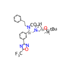 CC(C)(C)[Si](C)(C)O[C@H]1CCN(C[C@H](c2cccc(-c3noc(C(F)(F)F)n3)c2)N(CCc2ccccc2)C(=O)O)C1